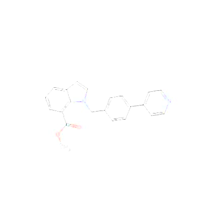 COC(=O)c1cccc2ccn(Cc3ccc(-c4ccncc4)cc3)c12